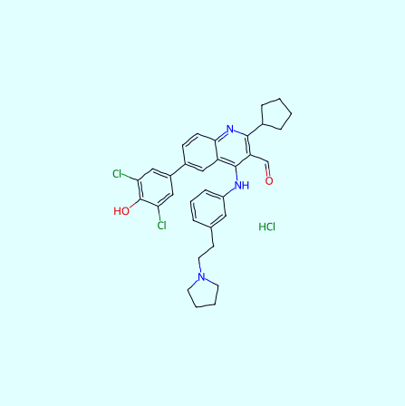 Cl.O=Cc1c(C2CCCC2)nc2ccc(-c3cc(Cl)c(O)c(Cl)c3)cc2c1Nc1cccc(CCN2CCCC2)c1